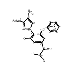 CC(=O)Nc1nn(-c2c(Cl)cc(C(F)C(F)F)cc2Cl)cc1[N+](=O)[O-].c1cc2cc(c1)O2